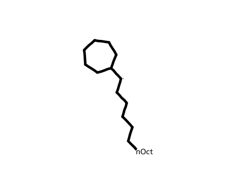 CCCCCCCCCCCCC[CH]C1CCCCCC1